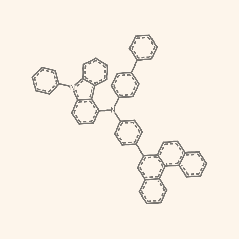 c1ccc(-c2ccc(N(c3ccc(-c4cc5ccccc5c5c4ccc4ccccc45)cc3)c3cccc4c3c3ccccc3n4-c3ccccc3)cc2)cc1